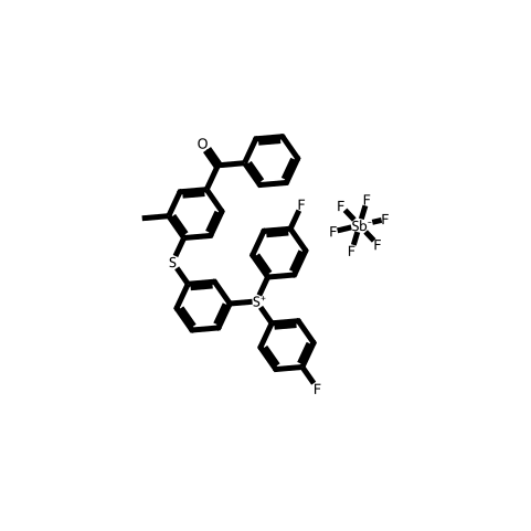 Cc1cc(C(=O)c2ccccc2)ccc1Sc1cccc([S+](c2ccc(F)cc2)c2ccc(F)cc2)c1.[F][Sb-]([F])([F])([F])([F])[F]